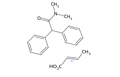 C/C=C/C(=O)O.CN(C)C(=O)C(c1ccccc1)c1ccccc1